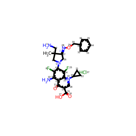 CC1(CN)CN(c2c(F)c(N)c3c(=O)c(C(=O)O)cn(C4CC4)c3c2F)C/C1=N\OCc1ccccc1.Cl